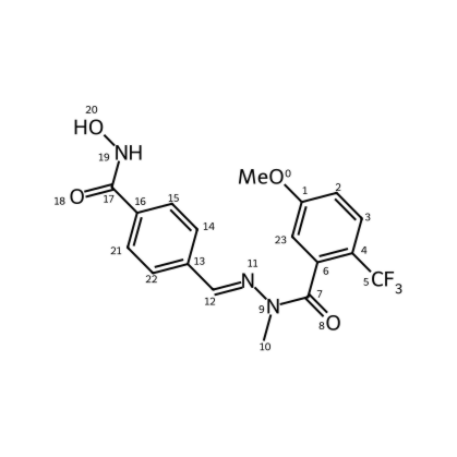 COc1ccc(C(F)(F)F)c(C(=O)N(C)/N=C/c2ccc(C(=O)NO)cc2)c1